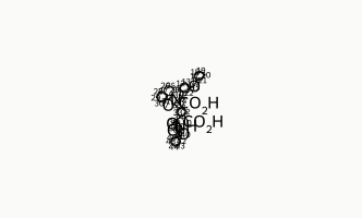 O=C(O)c1cc(C(=O)O)c(C(=O)N(Cc2cccc(Oc3ccccc3)c2)[C@H]2CCCc3ccccc32)cc1C(=O)NS(=O)(=O)c1ccccc1